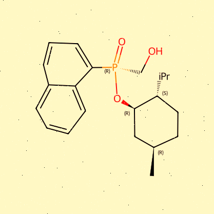 CC(C)[C@@H]1CC[C@@H](C)C[C@H]1O[P@@](=O)(CO)c1cccc2ccccc12